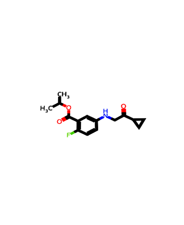 CC(C)OC(=O)c1cc(NCC(=O)C2CC2)ccc1F